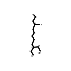 CCCC(I)CCCCCC(CC)CI